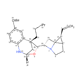 C=C[C@H]1C2CCN3[C@H]([C@@H]4O[C@H]5C[C@]4(CCC(C)C)c4cc(OC)ccc4N5)CC213